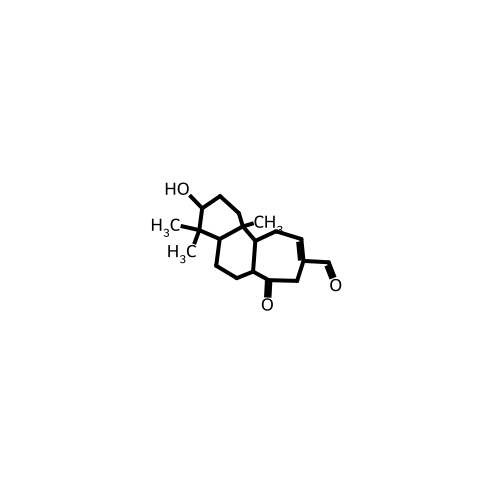 CC1(C)C(O)CCC2(C)C3CC=C(C=O)CC(=O)C3CCC12